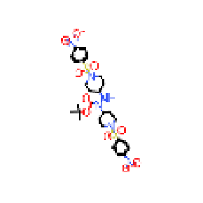 CC(C)(C)OC(=O)N(NC1CCN(S(=O)(=O)c2ccc([N+](=O)[O-])cc2)CC1)C1CCN(S(=O)(=O)c2ccc([N+](=O)[O-])cc2)CC1